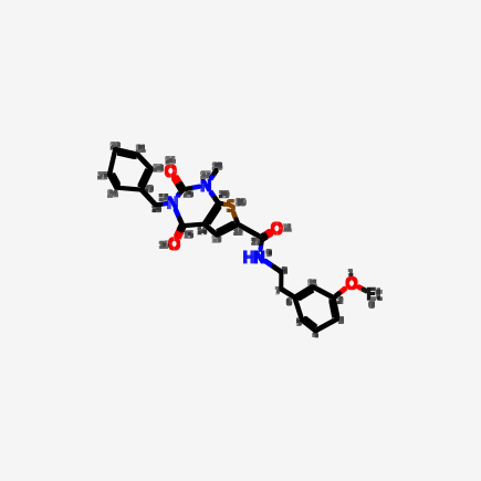 CCOc1cccc(CCNC(=O)c2cc3c(=O)n(Cc4ccccc4)c(=O)n(C)c3s2)c1